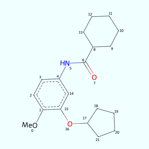 COc1ccc(NC(=O)C2CCCCC2)cc1OC1CCCC1